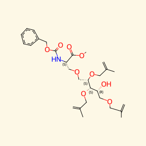 C=C(C)COC[C@@H](O)[C@H](OCC(=C)C)[C@H](COC[C@H](NC(=O)OCc1ccccc1)C(=O)OC)OCC(=C)C